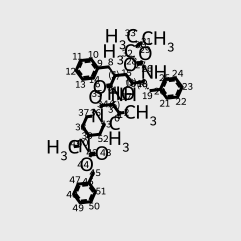 CC(C)[C@H](NC(=O)[C@@H](Cc1ccccc1)C[C@H](O)[C@@H](Cc1ccccc1)NC(=O)OC(C)(C)C)C(=O)N1CCC(N(C)C(=O)OCc2ccccc2)CC1